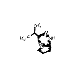 CC(C)c1n[nH]c2cccn12